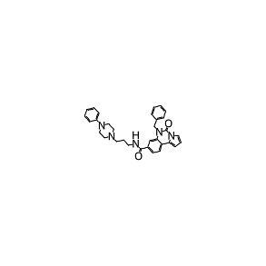 O=C(NCCCN1CCN(c2ccccc2)CC1)c1ccc2c(c1)n(Cc1ccccc1)c(=O)n1cccc21